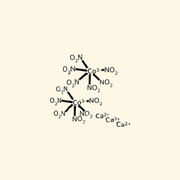 O=[N+]([O-])[Co-3]([N+](=O)[O-])([N+](=O)[O-])([N+](=O)[O-])([N+](=O)[O-])[N+](=O)[O-].O=[N+]([O-])[Co-3]([N+](=O)[O-])([N+](=O)[O-])([N+](=O)[O-])([N+](=O)[O-])[N+](=O)[O-].[Ca+2].[Ca+2].[Ca+2]